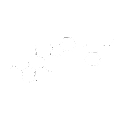 CCOc1ccccc1Oc1ccc2nc(-n3c(=S)oc4c(OC)ccnc4c3=O)sc2c1